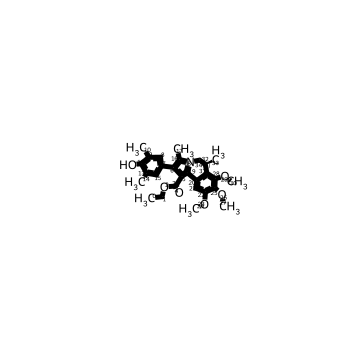 CCOC(=O)c1c(-c2cc(C)c(O)c(C)c2)c(C)n2c1-c1cc(OC)c(OC)c(OC)c1[C@H](C)C2